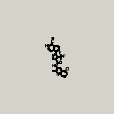 Cc1nc2ccnc(Cl)c2cc1NC(=O)c1cnn(-c2cccc3c2C=CNC3=C=O)c1C(F)(F)F